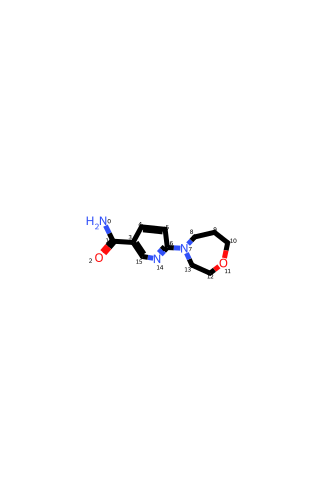 NC(=O)c1ccc(N2CCCOCC2)nc1